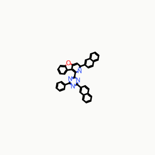 c1ccc(-c2nc(-c3ccc4ccccc4c3)nc(-c3nc(-c4ccc5ccccc5c4)cc4oc5ccccc5c34)n2)cc1